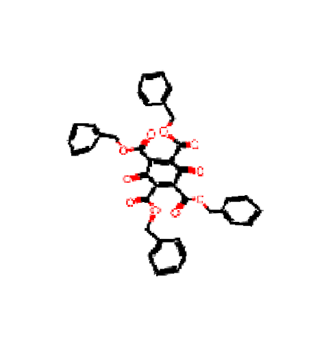 O=C(OCc1ccccc1)C1=C(C(=O)OCc2ccccc2)C(=O)C(C(=O)OCc2ccccc2)=C(C(=O)OCc2ccccc2)C1=O